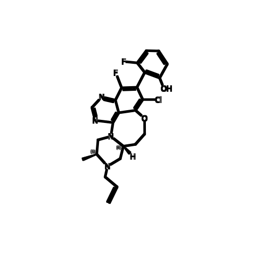 C=CCN1C[C@H]2CCOc3c(Cl)c(-c4c(O)cccc4F)c(F)c4ncnc(c34)N2C[C@@H]1C